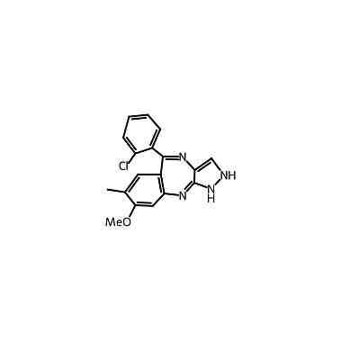 COc1cc2c(cc1C)C(c1ccccc1Cl)=NC1=CNNC1=N2